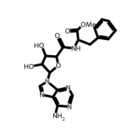 COC(=O)C(Cc1ccccc1)NC(=O)C1OC(n2cnc3c(N)ncnc32)C(O)C1O